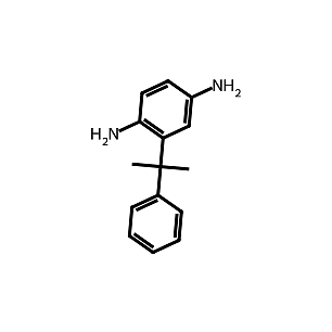 CC(C)(c1ccccc1)c1cc(N)ccc1N